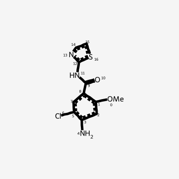 COc1cc(N)c(Cl)cc1C(=O)Nc1nccs1